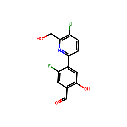 O=Cc1cc(F)c(-c2ccc(Cl)c(CO)n2)cc1O